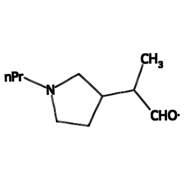 CCCN1CCC(C(C)[C]=O)C1